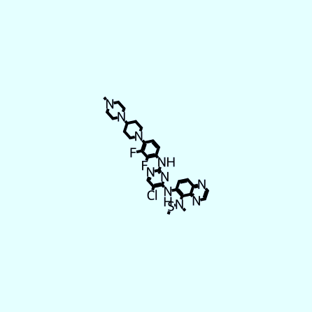 CSN(C)c1c(Nc2nc(Nc3ccc(N4CCC(N5CCN(C)CC5)CC4)c(F)c3F)ncc2Cl)ccc2nccnc12